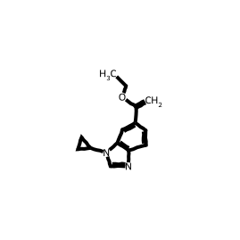 C=C(OCC)c1ccc2ncn(C3CC3)c2c1